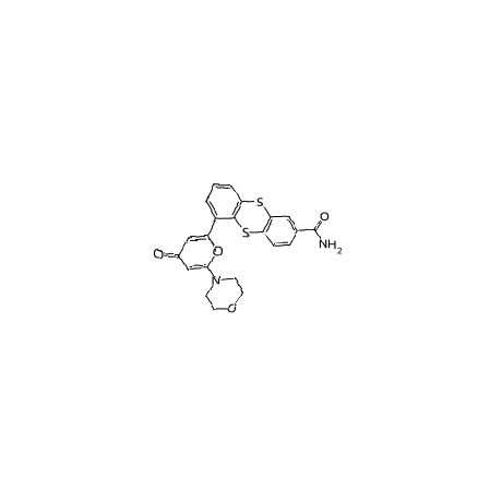 NC(=O)c1ccc2c(c1)Sc1cccc(-c3cc(=O)cc(N4CCOCC4)o3)c1S2